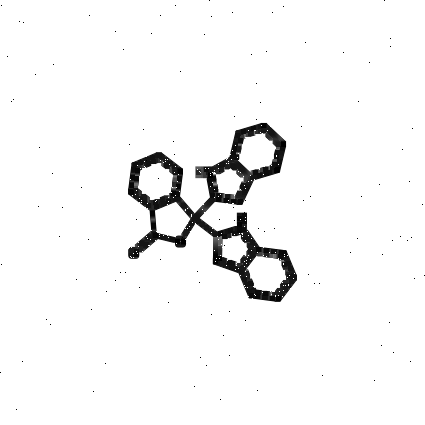 O=C1OC(c2cc3ccccc3[nH]2)(c2cc3ccccc3[nH]2)c2ccccc21